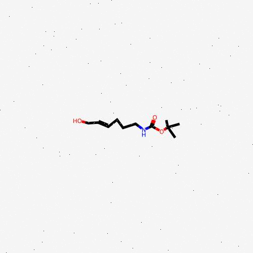 CC(C)(C)OC(=O)NCCC/C=C/CO